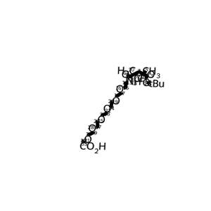 CC(C)(C)OC(=O)C(C)(C)CC(C)(C)C(=O)NCCOCCOCCOCCOCCOCCOCC(=O)O